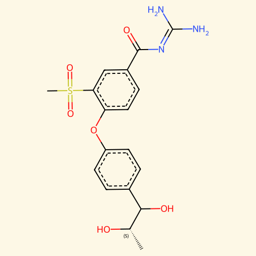 C[C@H](O)C(O)c1ccc(Oc2ccc(C(=O)N=C(N)N)cc2S(C)(=O)=O)cc1